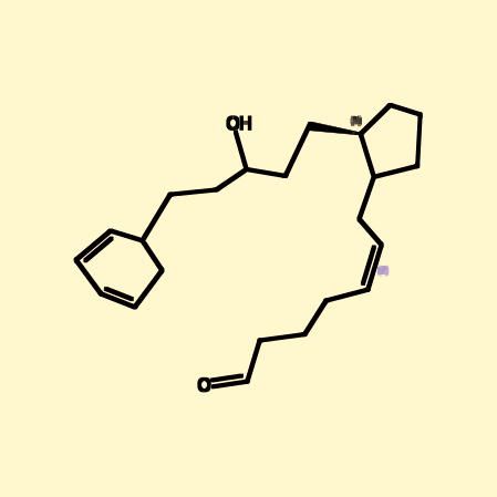 O=CCCC/C=C\CC1CCC[C@@H]1CCC(O)CCC1C=CC=CC1